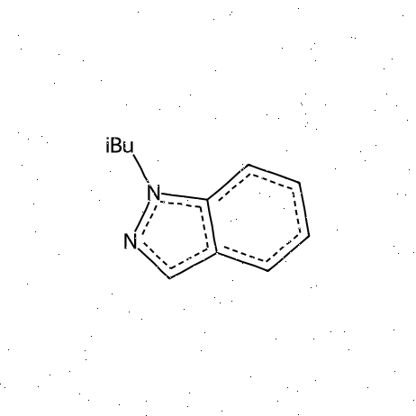 C[CH]C(C)n1ncc2ccccc21